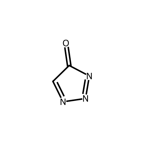 O=C1C=NN=N1